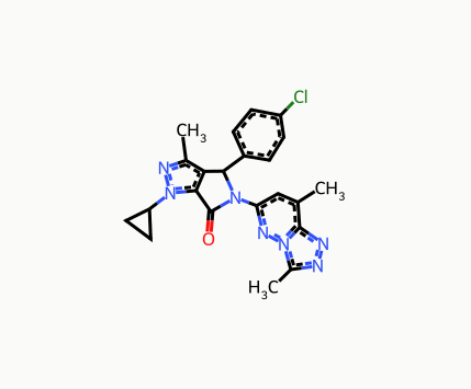 Cc1nn(C2CC2)c2c1C(c1ccc(Cl)cc1)N(c1cc(C)c3nnc(C)n3n1)C2=O